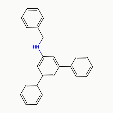 c1ccc(CNc2cc(-c3ccccc3)cc(-c3ccccc3)c2)cc1